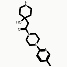 Cc1ccc(N2CCN(C(=O)CC3(O)CCNCC3)CC2)nc1